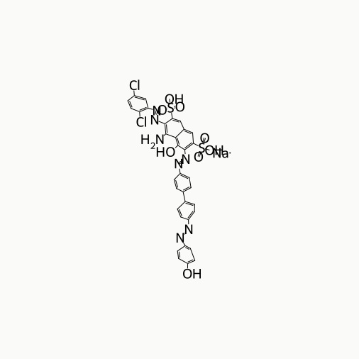 Nc1c(N=Nc2cc(Cl)ccc2Cl)c(S(=O)(=O)O)cc2cc(S(=O)(=O)O)c(N=Nc3ccc(-c4ccc(N=Nc5ccc(O)cc5)cc4)cc3)c(O)c12.[Na]